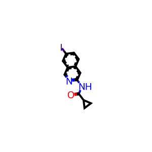 O=C(Nc1cc2ccc(I)cc2cn1)C1CC1